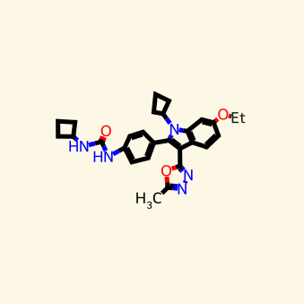 CCOc1ccc2c(-c3nnc(C)o3)c(-c3ccc(NC(=O)NC4CCC4)cc3)n(C3CCC3)c2c1